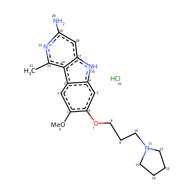 COc1cc2c(cc1OCCCN1CCCC1)[nH]c1cc(N)nc(C)c12.Cl